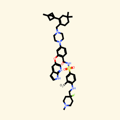 CN1CCC(F)(CNc2ccc(S(=O)(=O)NC(=O)c3ccc(N4CCN(CC5=C(C67CC(C)(C6)C7)CC(C)(C)CC5)CC4)cc3Oc3cnc4[nH]ccc4c3)cc2[N+](=O)[O-])CC1